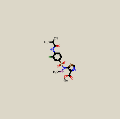 CPN(c1scnc1C(=O)OC(C)(C)C)S(=O)(=O)c1ccc(NC(=O)C(C)C#N)c(F)c1